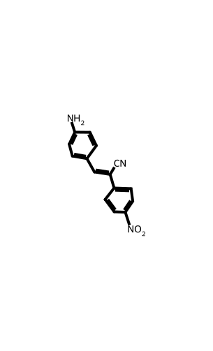 N#C/C(=C\c1ccc(N)cc1)c1ccc([N+](=O)[O-])cc1